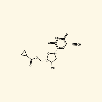 C#Cc1cn([C@@H]2CC(O)[C@H](COC(=O)C3CC3)O2)c(=O)[nH]c1=O